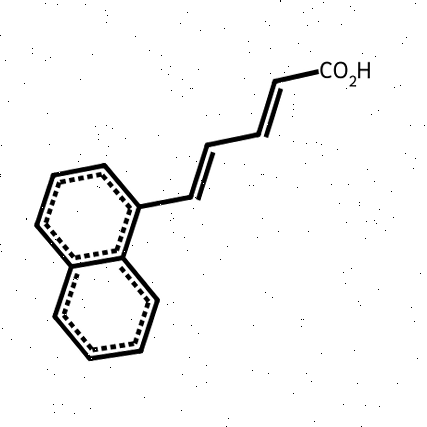 O=C(O)C=CC=Cc1cccc2ccccc12